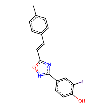 Cc1ccc(C=Cc2nc(-c3ccc(O)c(I)c3)no2)cc1